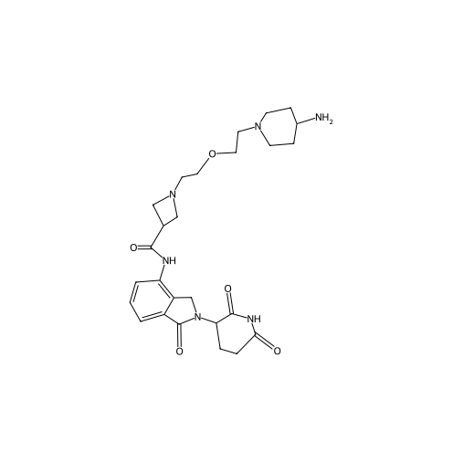 NC1CCN(CCOCCN2CC(C(=O)Nc3cccc4c3CN(C3CCC(=O)NC3=O)C4=O)C2)CC1